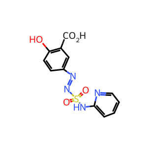 O=C(O)c1cc(N=NS(=O)(=O)Nc2ccccn2)ccc1O